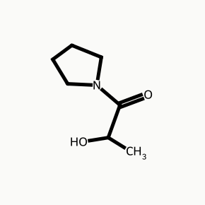 CC(O)C(=O)N1CCCC1